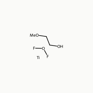 COCCO.FOF.[Ti]